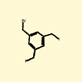 BrCc1cc(CI)cc(CI)c1